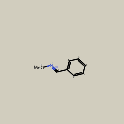 CO/N=C/c1ccccc1